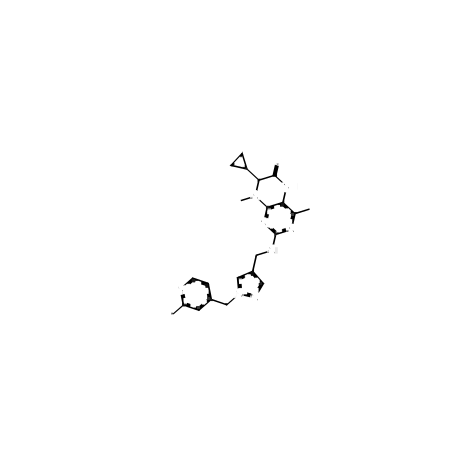 Cc1nc(NCc2cnn(Cc3ccnc(Cl)c3)c2)nc2c1NC(=O)C(C1CC1)N2C